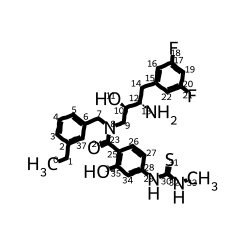 CCc1cccc(CN(C[C@@H](O)[C@@H](N)Cc2cc(F)cc(F)c2)C(=O)c2ccc(NC(=S)NC)cc2O)c1